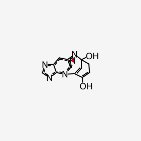 OC1=CCC2(O)C=C1n1c3ncnc-3cc3c1ncn32